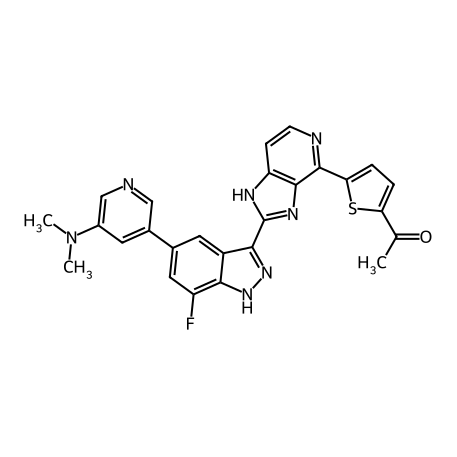 CC(=O)c1ccc(-c2nccc3[nH]c(-c4n[nH]c5c(F)cc(-c6cncc(N(C)C)c6)cc45)nc23)s1